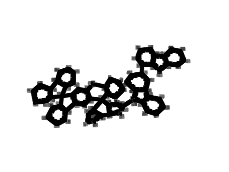 c1ccc2c(c1)Sc1cc3c(cc1C21c2cccnc2-c2ncc(-n4c5ccccc5c5cc(-c6cccc7c6sc6ccccc67)ccc54)cc21)-c1ccccc1C31c2ccccc2-c2ccccc21